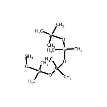 C[Si](C)(C)O[Si](C)(C)O[Si](C)(C)O[Si](C)(C)O[SiH3]